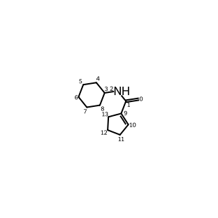 C=C(NC1CCCCC1)C1=CCCC1